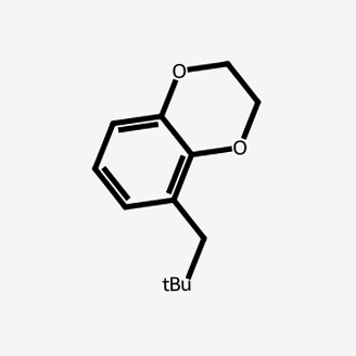 CC(C)(C)Cc1cccc2c1OCCO2